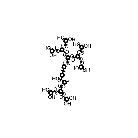 Cc1cc(OC(=O)c2cc(OC(=O)c3cc(O)cc(O)c3)cc(OC(=O)c3cc(O)cc(O)c3)c2)cc(C(OO)c2ccc(C(C)(C)c3ccc(OC(=O)c4cc(OC(=O)c5cc(OCOc6cc(O)cc(O)c6)cc(OC(=O)c6cc(O)cc(O)c6)c5)cc(OC(=O)c5cc(OC(=O)c6cc(O)cc(O)c6)cc(OC(=O)c6cc(O)cc(O)c6)c5)c4)cc3)cc2)c1